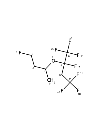 CC(CCF)OC(F)(CC(F)(F)F)C(F)(F)F